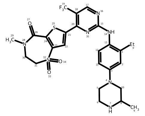 CCc1cc(N2CCNC(C)C2)ccc1Nc1ncc(C(F)(F)F)c(-c2cc3c(s2)C(=O)N(C)CCS3(=O)=O)n1